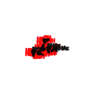 CC(=O)N[C@H]1C(O)[C@H](O)C(CO)O[C@H]1OC1C(O)[C@H](O)[C@@H](CO)O[C@@H]1OC1C(O)[C@H](O[C@@H]2C(CO)O[C@@H](O[C@@H]3C(CO)O[C@@H](C)[C@@H](NC(C)=O)C3O)[C@@H](NC(C)=O)C2O)OC(CO[C@H]2OC(CO)[C@@H](O)C(O)[C@H]2O)[C@H]1O